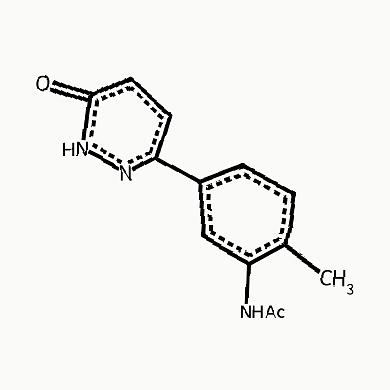 CC(=O)Nc1cc(-c2ccc(=O)[nH]n2)ccc1C